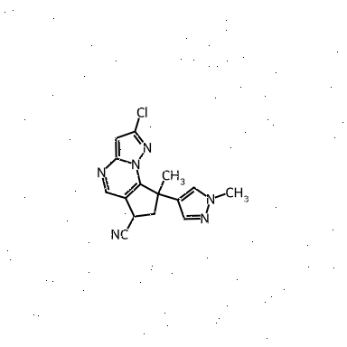 Cn1cc(C2(C)CC(C#N)c3cnc4cc(Cl)nn4c32)cn1